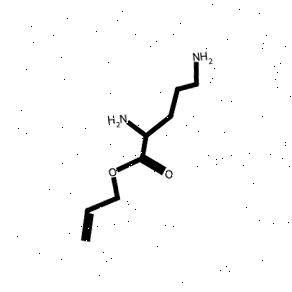 C=CCOC(=O)C(N)CCCN